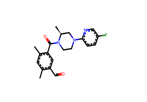 Cc1cc(C)c(C(=O)N2CCN(c3ccc(F)cn3)C[C@@H]2C)cc1C=O